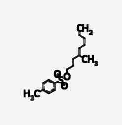 C=C/C=C\C=C(/C)CCCOS(=O)(=O)c1ccc(C)cc1